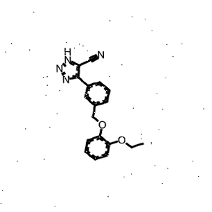 CCOc1ccccc1OCc1cccc(-c2nn[nH]c2C#N)c1